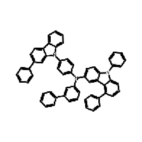 c1ccc(-c2cccc(N(c3ccc(-n4c5ccccc5c5ccc(-c6ccccc6)cc54)cc3)c3ccc4c(c3)c3c(-c5ccccc5)cccc3n4-c3ccccc3)c2)cc1